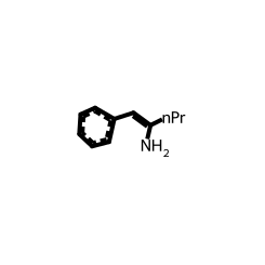 CCCC(N)=Cc1ccccc1